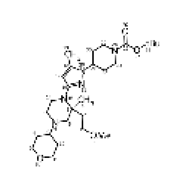 COCC[C@@]1(C)CN(C2CCOCC2)CCN1c1cc(C)n(C2CCN(C(=O)OC(C)(C)C)CC2)n1